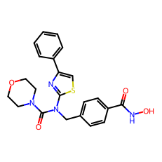 O=C(NO)c1ccc(CN(C(=O)N2CCOCC2)c2nc(-c3ccccc3)cs2)cc1